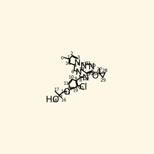 Cc1ccnc(Cn2c(-c3ccc(OCC(C)(C)O)cc3Cl)nc3c(OC4(C)CC4)ncnc32)c1